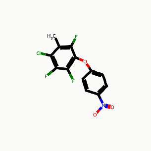 Cc1c(F)c(Oc2ccc([N+](=O)[O-])cc2)c(F)c(F)c1Cl